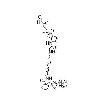 CC(CCC(=O)NC=O)N1Cc2c(NC(=O)CNCCCOCCOCCNC(=O)C3(Cc4cccc(NC5=NCCS5)n4)CCCCC3)cccc2C1=O